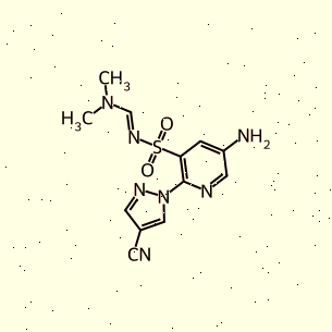 CN(C)/C=N/S(=O)(=O)c1cc(N)cnc1-n1cc(C#N)cn1